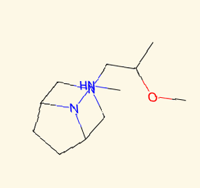 CNN1C2CCC1CN(CC(C)OC)C2